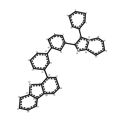 c1ccc(-c2c(-c3cccc(-c4cccc(-c5cccc6c5sc5ccccc56)c4)c3)nc3ccccn23)cc1